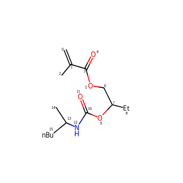 C=C(C)C(=O)OCC(CC)OC(=O)NC(C)CCCC